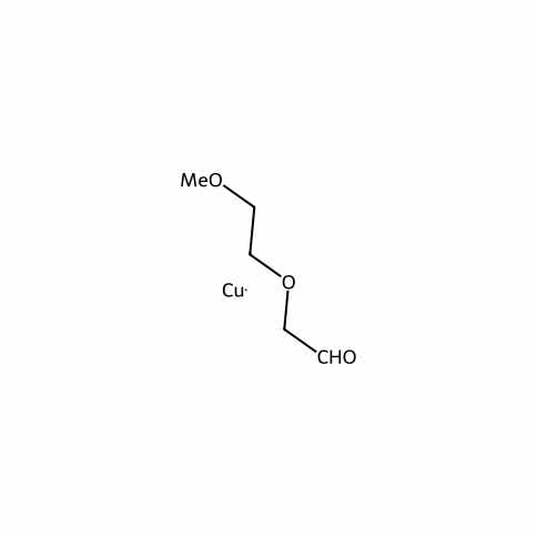 COCCOCC=O.[Cu]